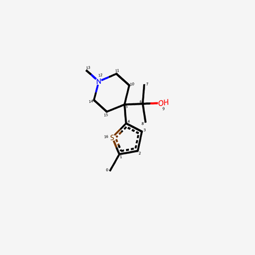 Cc1ccc(C2(C(C)(C)O)CCN(C)CC2)s1